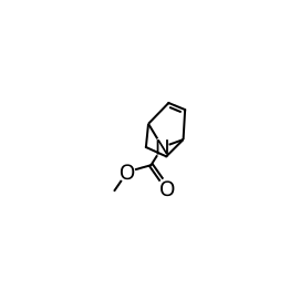 COC(=O)N1C2C=CC1CC2